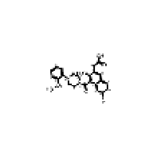 COc1ccccc1N1CCN(C(=O)c2c(C)c(CC(=O)O)cc3c2=CC(F)CC=3)CC1